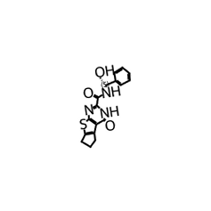 O=C(N[C@H](CO)c1ccccc1)c1nc2sc3c(c2c(=O)[nH]1)CCC3